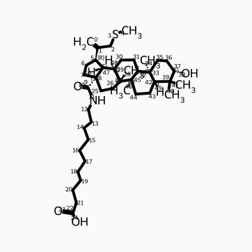 C=C(CSC)[C@@H]1CC[C@]2(C(=O)NCCCCCCCCCCC(=O)O)CC[C@]3(C)[C@H](CCC4[C@@]5(C)CC[C@H](O)C(C)(C)[C@@H]5CC[C@]43C)[C@@H]12